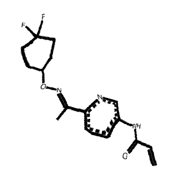 C=CC(=O)Nc1ccc(/C(C)=N/OC2CCC(F)(F)CC2)nc1